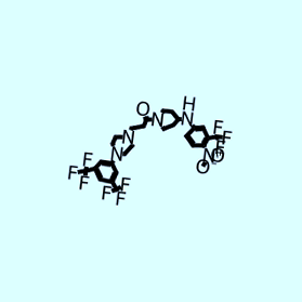 O=C(CCN1CCN(c2cc(C(F)(F)F)cc(C(F)(F)F)c2)CC1)N1CCC(Nc2ccc([N+](=O)[O-])c(C(F)(F)F)c2)CC1